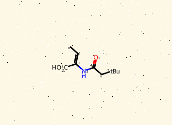 CC=C(NC(=O)CC(C)(C)C)C(=O)O